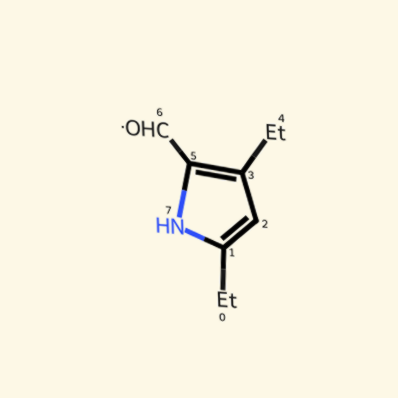 CCc1cc(CC)c([C]=O)[nH]1